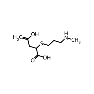 C=C(O)CC(SCCCNC)C(=O)O